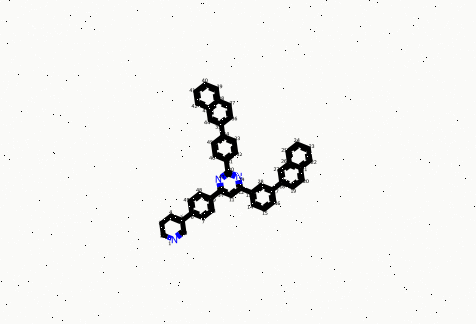 C1=NCCC=C1c1ccc(-c2cc(-c3cccc(-c4ccc5ccccc5c4)c3)nc(-c3ccc(-c4ccc5ccccc5c4)cc3)n2)cc1